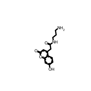 NCCCNC(=O)Cc1cc(=O)oc2cc(O)ccc12